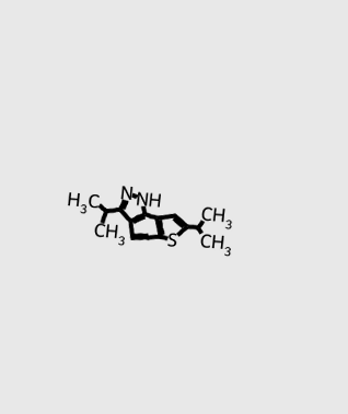 CC(C)c1cc2c(ccc3c(C(C)C)n[nH]c32)s1